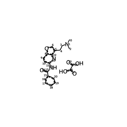 CN(C)CCc1coc2ccc(NC(=O)c3ccccc3)nc12.O=C(O)C(=O)O